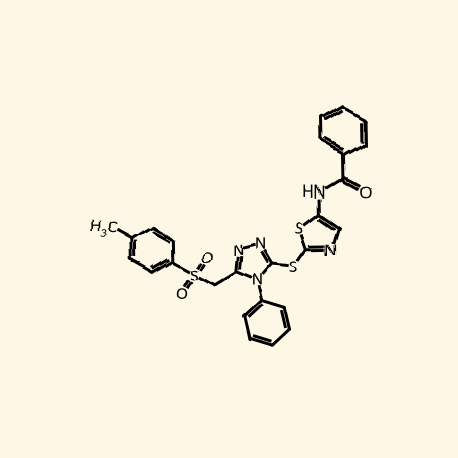 Cc1ccc(S(=O)(=O)Cc2nnc(Sc3ncc(NC(=O)c4ccccc4)s3)n2-c2ccccc2)cc1